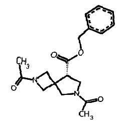 CC(=O)N1C[C@@H](C(=O)OCc2ccccc2)C2(C1)CN(C(C)=O)C2